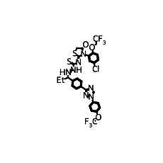 CCC(NNC(=S)/N=C1\SCC(=O)N1c1cc(Cl)ccc1OCC(F)(F)F)c1ccc(-c2ncn(-c3ccc(OC(F)(F)F)cc3)n2)cc1